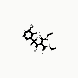 CCOC(=O)C(C(=O)OCC)C(=O)C(C)(C)c1cccc(O)c1F